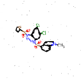 Cn1ccc2c(S(=O)(=O)Nc3cc(Cl)c(Cl)cc3NS(=O)(=O)c3cccs3)cccc21